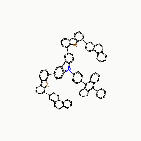 c1ccc(-c2c3ccccc3c(-c3ccc(-n4c5ccc(-c6cccc7c6sc6c(-c8ccc9c(ccc%10ccccc%109)c8)cccc67)cc5c5cc(-c6cccc7c6sc6c(-c8ccc9c(ccc%10ccccc%109)c8)cccc67)ccc54)cc3)c3ccccc23)cc1